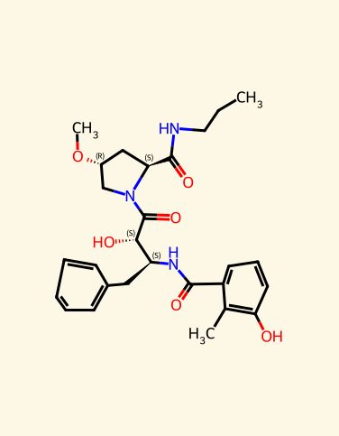 CCCNC(=O)[C@@H]1C[C@@H](OC)CN1C(=O)[C@@H](O)[C@H](Cc1ccccc1)NC(=O)c1cccc(O)c1C